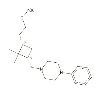 CCCCOCC[C@@H]1C[C@H](CN2CCN(c3ccccc3)CC2)C1(C)C